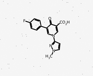 Cn1ccc(-n2cc(C(=O)O)c(=O)c(-c3ccc(F)cc3)c2)n1